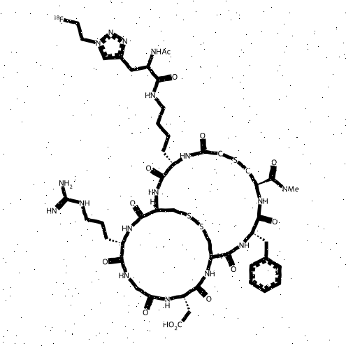 CNC(=O)[C@@H]1CSCC(=O)N[C@@H](CCCCNC(=O)C(Cc2cn(CC[18F])nn2)NC(C)=O)C(=O)N[C@H]2CSSC[C@H](NC(=O)[C@H](CC(=O)O)NC(=O)CNC(=O)[C@H](CCCNC(=N)N)NC2=O)C(=O)N[C@@H](Cc2ccccc2)C(=O)N1